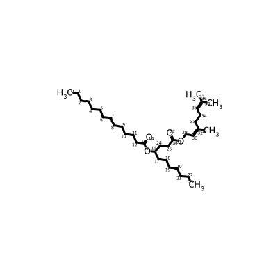 CCCCCCCCCCCCCC(=O)OC(CCCCCCC)CCC(=O)OCC=C(C)CCC=C(C)C